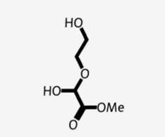 COC(=O)C(O)OCCO